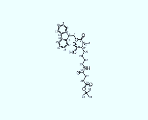 CN(C(=O)OCC1c2ccccc2-c2ccccc21)[C@@H](CCCCNC(=O)CCC(=O)OC(C)(C)C)C(=O)O